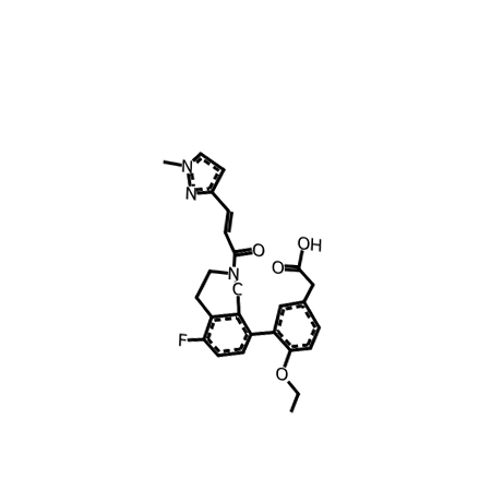 CCOc1ccc(CC(=O)O)cc1-c1ccc(F)c2c1CN(C(=O)/C=C/c1ccn(C)n1)CC2